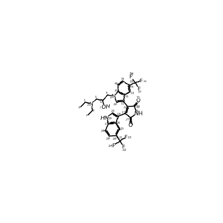 CCN(CC)CC(O)Cn1cc(C2=C(c3c[nH]c4ccc(C(F)(F)F)cc34)C(=O)NC2=O)c2cc(C(F)(F)F)ccc21